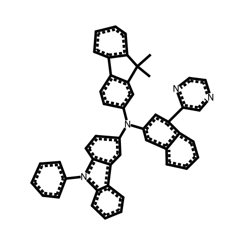 CC1(C)c2ccccc2-c2ccc(N(c3cc(-c4cnccn4)c4ccccc4c3)c3ccc4c(c3)c3ccccc3n4-c3ccccc3)cc21